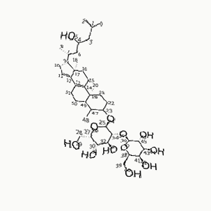 CC(C)CC(O)C[C@@H](C)[C@H]1CC=C2C3=C(CC[C@@]21C)[C@@]1(C)CCC(O[C@@H]2O[C@@H](CO)[C@@H](O)[C@H](O)[C@H]2O[C@@H]2O[C@H](CO)[C@H](O)[C@H](O)[C@H]2O)C(C)C1CC3